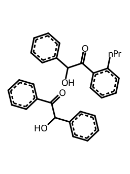 CCCc1ccccc1C(=O)C(O)c1ccccc1.O=C(c1ccccc1)C(O)c1ccccc1